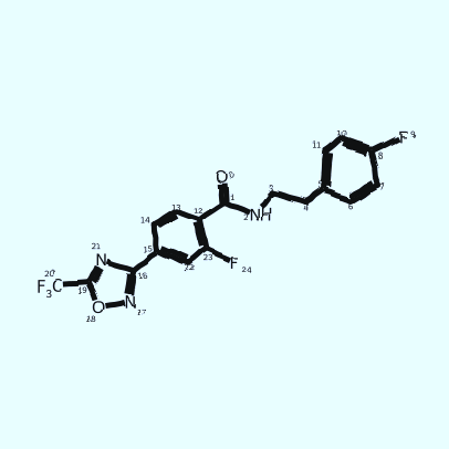 O=C(NCCc1ccc(F)cc1)c1ccc(-c2noc(C(F)(F)F)n2)cc1F